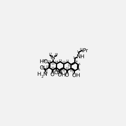 CC(C)CNCc1ccc(O)c2c1CC1CC3C(N(C)C)C(O)=C(C(N)=O)C(=O)C3(O)C(O)=C1C2=O